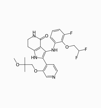 COC(C)(C)COc1cnccc1-c1[nH]c2c(c1Nc1cccc(F)c1OCC(F)F)C(=O)NCC2